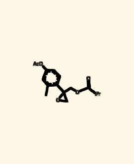 CC(=O)Oc1ccc(C2(COC(=O)C(C)C)CO2)c(C)c1